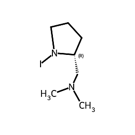 CN(C)C[C@H]1CCCN1I